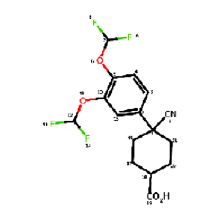 N#CC1(c2ccc(OC(F)F)c(OC(F)F)c2)CCC(C(=O)O)CC1